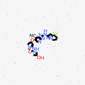 C=N/C(=C\C(=C/C)Oc1cnc2nc(Nc3cc4n(n3)CCCC4(F)F)n(C)c2c1C#N)NC(=O)N1CC(O)C1